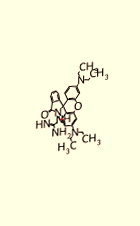 CCN(CC)c1ccc2c(c1)Oc1cc(N(CC)CC)ccc1C21c2ccccc2C(=O)N1NC(=N)N